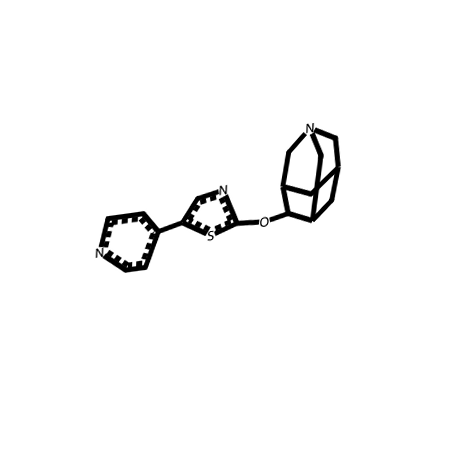 c1cc(-c2cnc(OC3C4CC5CC3CN(C5)C4)s2)ccn1